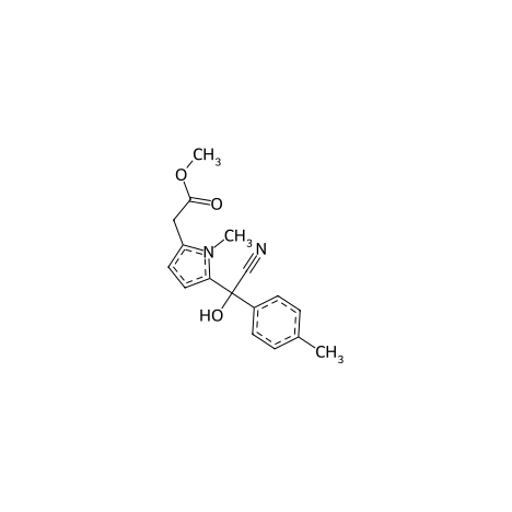 COC(=O)Cc1ccc(C(O)(C#N)c2ccc(C)cc2)n1C